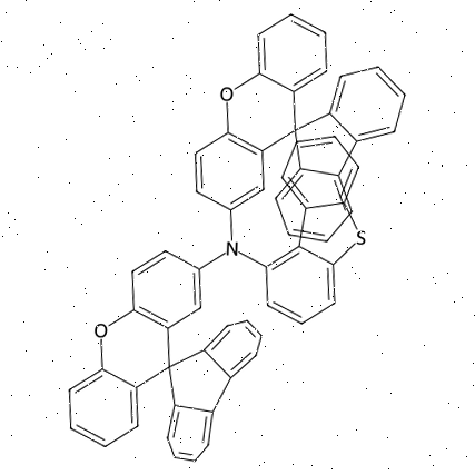 c1ccc2c(c1)Oc1ccc(N(c3ccc4c(c3)C3(c5ccccc5O4)c4ccccc4-c4ccccc43)c3cccc4sc5ccccc5c34)cc1C21c2ccccc2-c2ccccc21